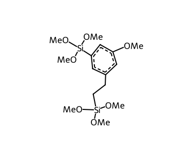 COc1cc(CC[Si](OC)(OC)OC)cc([Si](OC)(OC)OC)c1